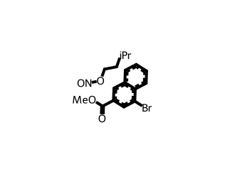 CC(C)CCON=O.COC(=O)c1cc(Br)c2ccccc2c1